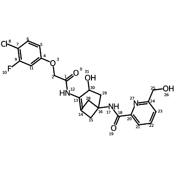 O=C(COc1ccc(Cl)c(F)c1)NC1=C2CC(NC(=O)c3cccc(CO)n3)(C2)CC1O